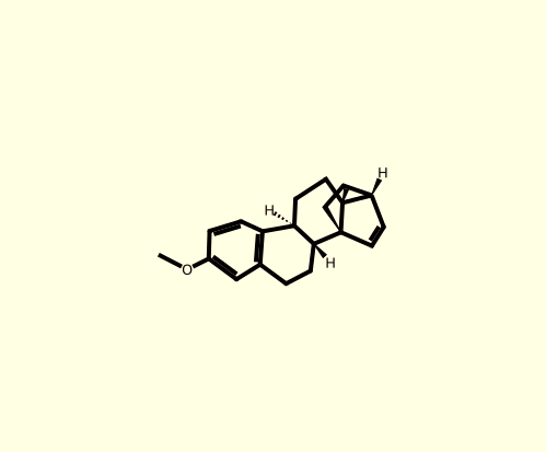 COc1ccc2c(c1)CC[C@@H]1[C@@H]2CC[C@]2(C)[C@H]3C=C[C@]12CC3